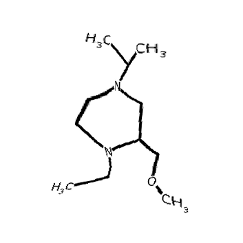 CCN1CCN(C(C)C)CC1COC